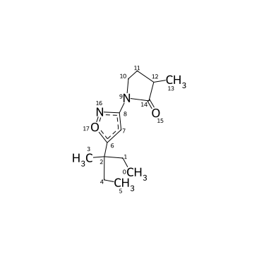 CCC(C)(CC)c1cc(N2CCC(C)C2=O)no1